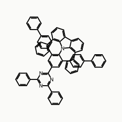 c1ccc(-c2ccc(-c3cc(-c4nc(-c5ccccc5)nc(-c5ccccc5)n4)cc(-c4ccc(-c5ccccc5)cc4)c3-n3c4c(-c5ccccc5)cccc4c4cccc(-c5ccccc5)c43)cc2)cc1